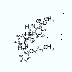 CCCCOc1ccccc1-c1nc2c(C(=O)Nc3cccc(C(=O)OC)c3N)cccc2o1